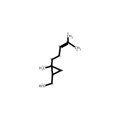 CC(=O)OCC1CC1(C)CCC=C(C)C